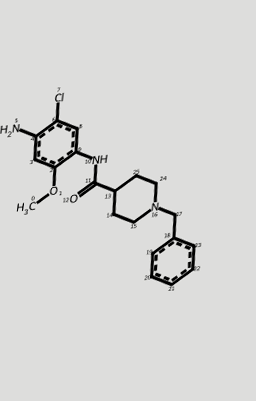 COc1cc(N)c(Cl)cc1NC(=O)C1CCN(Cc2ccccc2)CC1